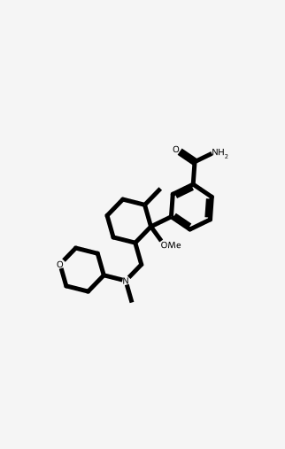 COC1(c2cccc(C(N)=O)c2)C(C)CCCC1CN(C)C1CCOCC1